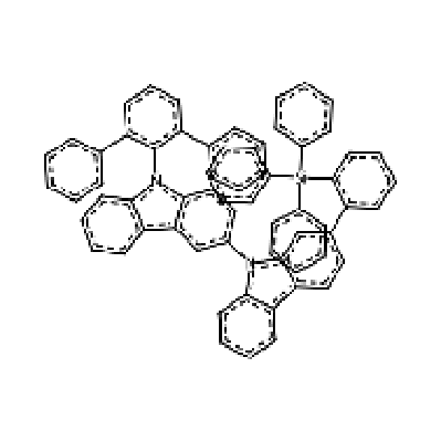 c1ccc(-c2cccc(-c3ccccc3)c2-n2c3ccccc3c3cc(-n4c5ccccc5c5ccc(-c6ccccc6[Si](c6ccccc6)(c6ccccc6)c6ccccc6)cc54)ccc32)cc1